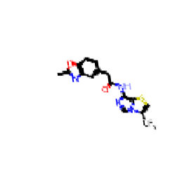 Cc1nc2cc(CC(=O)Nc3ncn4c(C(F)(F)F)csc34)ccc2o1